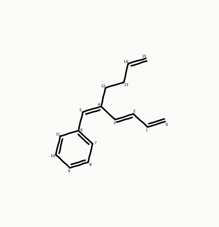 C=CC=CC(=Cc1ccccc1)CCC=C